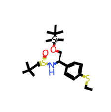 CCSc1ccc([C@H](CO[Si](C)(C)C(C)(C)C)NS(=O)#CC(C)(C)C)cc1